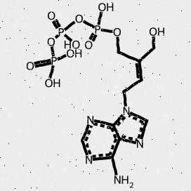 Nc1ncnc2c1ncn2CC=C(CO)COP(=O)(O)OP(=O)(O)OP(=O)(O)O